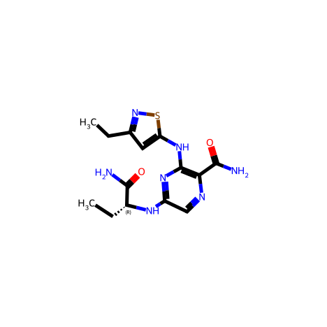 CCc1cc(Nc2nc(N[C@H](CC)C(N)=O)cnc2C(N)=O)sn1